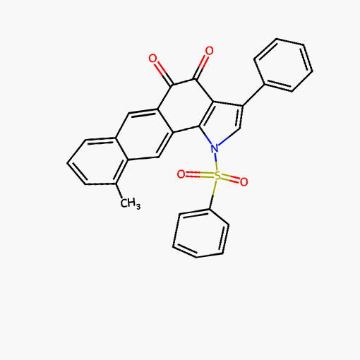 Cc1cccc2cc3c(cc12)-c1c(c(-c2ccccc2)cn1S(=O)(=O)c1ccccc1)C(=O)C3=O